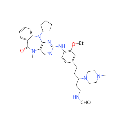 CCOc1cc(CCC(CCNC=O)N2CCN(C)CC2)ccc1Nc1ncc2c(n1)N(C1CCCC1)c1ccccc1C(=O)N2C